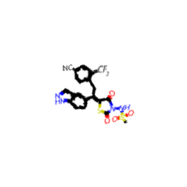 CS(=O)(=O)NN1C(=O)S/C(=C(/Cc2ccc(C#N)cc2C(F)(F)F)c2ccc3[nH]ncc3c2)C1=O